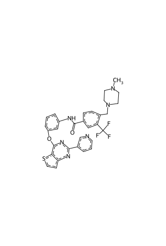 CN1CCN(Cc2ccc(C(=O)Nc3cccc(Oc4nc(-c5cccnc5)nc5ccsc45)c3)cc2C(F)(F)F)CC1